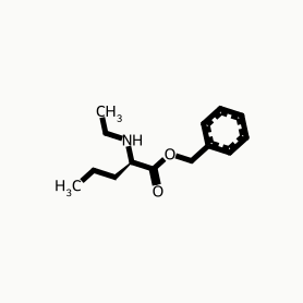 CCC[C@@H](NCC)C(=O)OCc1ccccc1